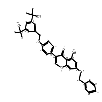 CC(C)(C#N)c1cc(COc2ccc(-c3coc4cc(OCc5ccccc5)cc(O)c4c3=O)cc2)cc(C(C)(C)C#N)c1